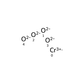 [Cr+3].[O-2].[O-2].[O-2].[O-2]